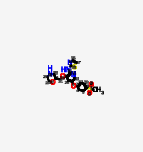 CS(=O)(=O)c1ccc(Oc2cnc(Nc3nccs3)c(OCC3CNCCO3)c2)cc1